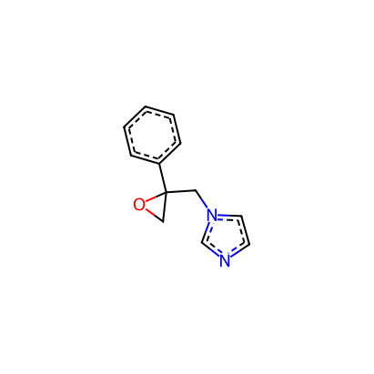 c1ccc(C2(Cn3ccnc3)CO2)cc1